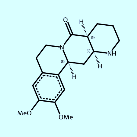 COc1cc2c(cc1OC)[C@@H]1C[C@@H]3NCCC[C@@H]3C(=O)N1CC2